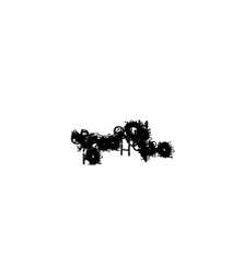 CCCOC(=O)[C@H](C)NP(=O)(Oc1ccccc1)C(C)c1ccc2ccc(C(=O)N[C@H]3CCCC[C@H]4CC[C@@H](C(=O)N5C[C@H](c6ccccc6)CC56CC6)N4C3=O)cc2c1